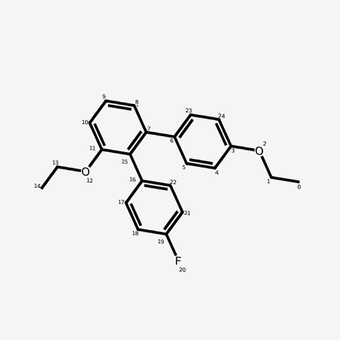 CCOc1ccc(-c2[c]ccc(OCC)c2-c2ccc(F)cc2)cc1